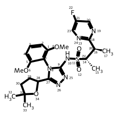 COc1cccc(OC)c1-n1c(NS(=O)(=O)[C@@H](C)[C@H](C)c2ncc(F)cn2)nnc1C1CCC(C)(C)O1